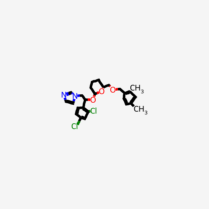 Cc1ccc(COCC2CCCC(OC(Cn3ccnc3)c3ccc(Cl)cc3Cl)O2)c(C)c1